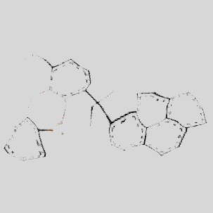 CC(C)c1ccc(C(C)(C)c2ccc3ccc4cccc5ccc2c3c45)c2c1Sc1ccccc1S2